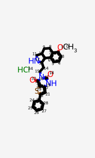 COc1cccc2c1CCC1CNC(CCn3c(=O)[nH]c4cc(-c5ccccc5)sc4c3=O)C21.Cl